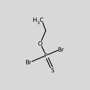 CCOP(=S)(Br)Br